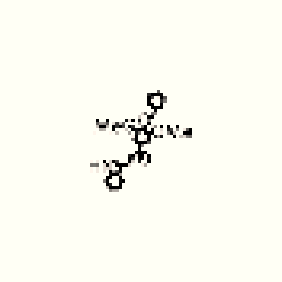 COc1cc(C(=O)C=Cc2c[nH]c3ccccc23)cc(OC)c1OCc1ccccc1